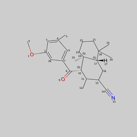 COc1cc(C)cc(C(=O)[C@H]2C(C)C(C#N)C[C@H]3C(C)(C)CCC[C@]23C)c1